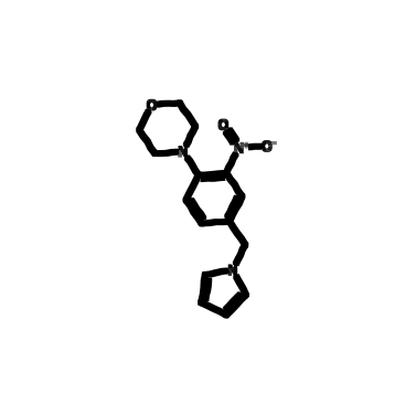 O=[N+]([O-])c1cc(Cn2cccc2)ccc1N1CCOCC1